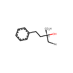 CC(=O)C[C@@](O)(CCc1ccccc1)C(=O)O